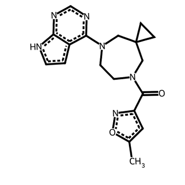 Cc1cc(C(=O)N2CCN(c3ncnc4[nH]ccc34)CC3(CC3)C2)no1